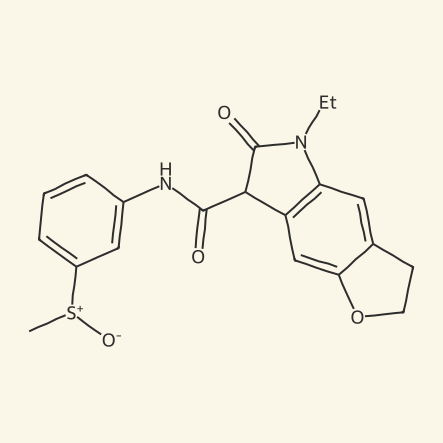 CCN1C(=O)C(C(=O)Nc2cccc([S+](C)[O-])c2)c2cc3c(cc21)CCO3